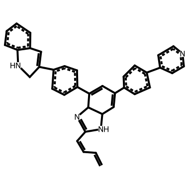 C=C/C=C\C1=NC2C(c3ccc(C4=Cc5ccccc5NC4)cc3)=CC(c3ccc(-c4ccncc4)cc3)=CC2N1